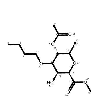 CCCCOC1[C@H](OC(C)=O)C(Br)O[C@@H](C(=O)OC)[C@H]1O